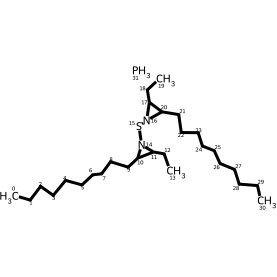 CCCCCCCCCCC1C(CC)N1SN1C(CC)C1CCCCCCCCCC.P